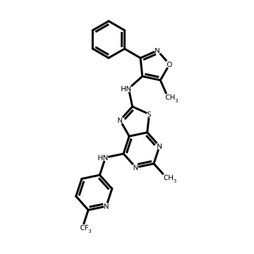 Cc1nc(Nc2ccc(C(F)(F)F)nc2)c2nc(Nc3c(-c4ccccc4)noc3C)sc2n1